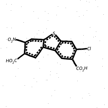 O=C(O)c1cc2c(cc1Cl)sc1cc([N+](=O)[O-])c(C(=O)O)cc12